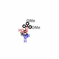 COc1ccc(C(OC[C@H]2O[C@@H](c3cnn4c3N=CNC4)[C@H](O[Si](C)(C)C(C)(C)C)[C@@H]2O)(c2ccccc2)c2ccc(OC)cc2)cc1